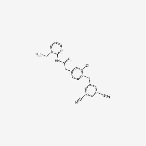 CCc1ccccc1NC(=O)Cc1ccc(Oc2cc(C#N)cc(C#N)c2)c(Cl)c1